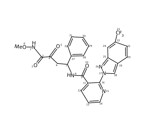 CONC(=O)C(=O)CC(NC(=O)c1cccnc1-n1cc2ccc(C(F)(F)F)cc2n1)c1ccccc1